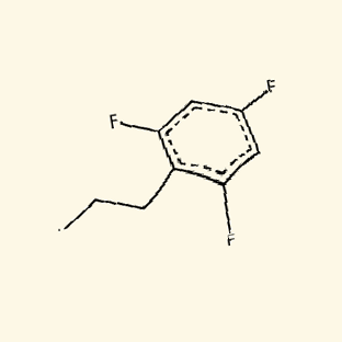 [CH2]CCc1c(F)cc(F)cc1F